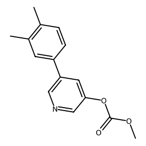 COC(=O)Oc1cncc(-c2ccc(C)c(C)c2)c1